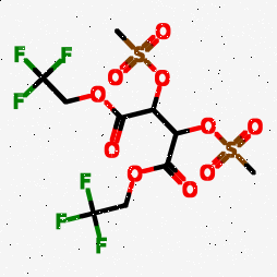 CS(=O)(=O)OC(C(=O)OCC(F)(F)F)C(OS(C)(=O)=O)C(=O)OCC(F)(F)F